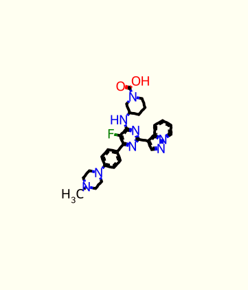 CN1CCN(c2ccc(-c3nc(-c4cnn5ccccc45)nc(NC4CCCN(C(=O)O)C4)c3F)cc2)CC1